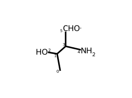 CC(O)C(N)[C]=O